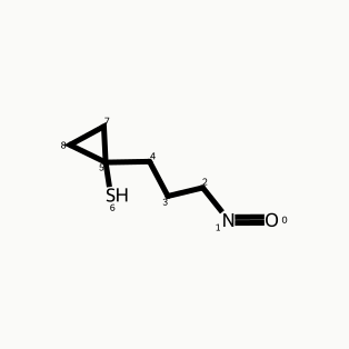 O=NCCCC1(S)CC1